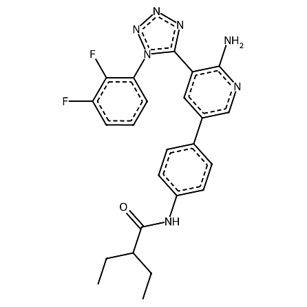 CCC(CC)C(=O)Nc1ccc(-c2cnc(N)c(-c3nnnn3-c3cccc(F)c3F)c2)cc1